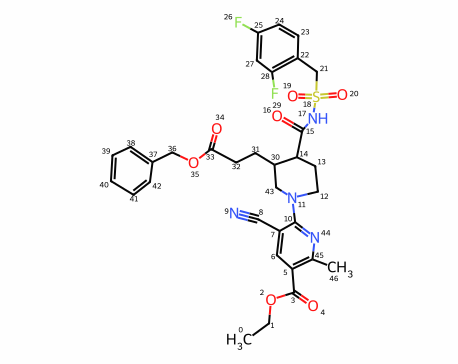 CCOC(=O)c1cc(C#N)c(N2CCC(C(=O)NS(=O)(=O)Cc3ccc(F)cc3F)C(CCC(=O)OCc3ccccc3)C2)nc1C